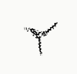 CCCCCCCCCCOP(=O)(O)OCC1O[C@@H](N2C=CC(N)=NC2O)C(F)(F)[C@@H]1OC(=O)CCCCCCCCCC